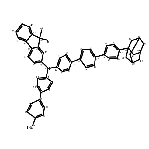 CC(C)(C)c1ccc(-c2ccc(N(c3ccc(-c4ccc(-c5ccc(C67CC8CC(CC(C8)C6)C7)cc5)cc4)cc3)c3ccc4c(c3)C(C)(C)c3ccccc3-4)cc2)cc1